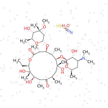 CC[C@H]1OC(=O)[C@H](C)[C@@H](O[C@H]2C[C@@](C)(OC)[C@@H](O)[C@H](C)O2)[C@H](C)[C@@H](O[C@@H]2O[C@H](C)C[C@H](N(C)C)[C@H]2O)[C@](C)(O)C[C@@H](C)C(=O)[C@H](C)[C@@H](O)[C@]1(C)O.N#CS.O